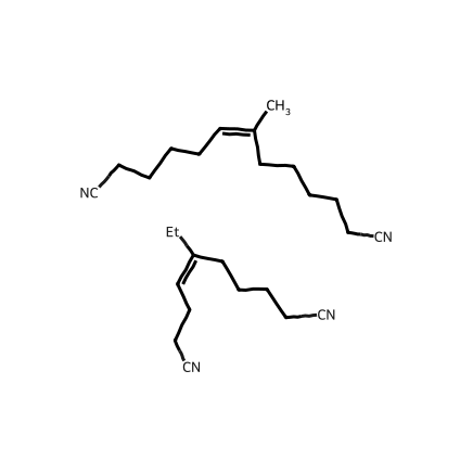 CC(=CCCCCC#N)CCCCCC#N.CCC(=CCCC#N)CCCCC#N